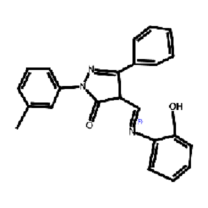 Cc1cccc(N2N=C(c3ccccc3)C(/C=N/c3ccccc3O)C2=O)c1